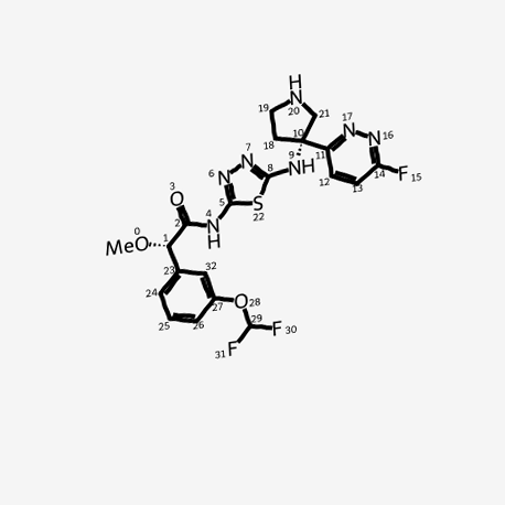 CO[C@H](C(=O)Nc1nnc(N[C@]2(c3ccc(F)nn3)CCNC2)s1)c1cccc(OC(F)F)c1